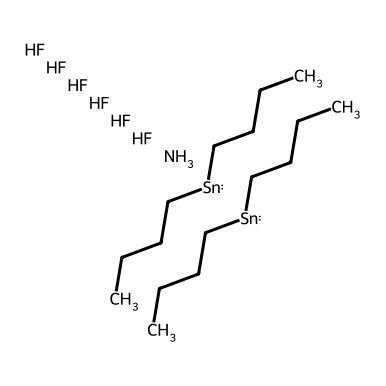 CCC[CH2][Sn][CH2]CCC.CCC[CH2][Sn][CH2]CCC.F.F.F.F.F.F.N